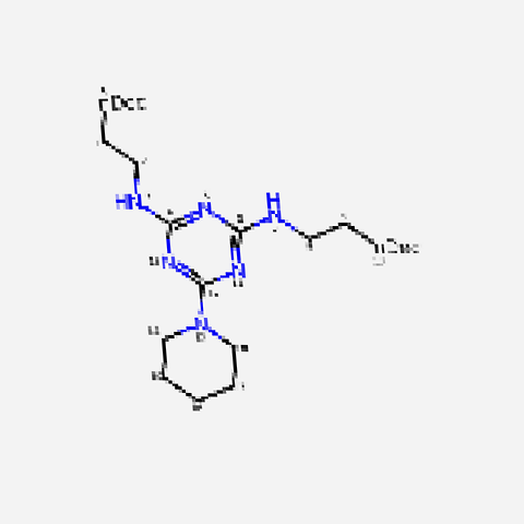 CCCCCCCCCCCCNc1nc(NCCCCCCCCCCCC)nc(N2CCCCC2)n1